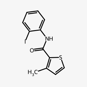 Cc1ccsc1C(=O)Nc1ccccc1I